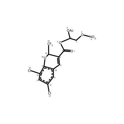 CC(=O)OC(CO[N+](=O)[O-])OC(=O)C1=Cc2cc(Cl)cc(Cl)c2OC1C(F)(F)F